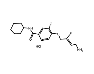 Cl.NC/C=C(\F)COc1ccc(C(=O)NC2CCCCC2)cc1Cl